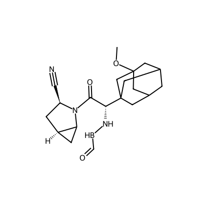 COC12CC3CC(C1)CC([C@H](NBC=O)C(=O)N1C4C[C@H]4C[C@H]1C#N)(C3)C2